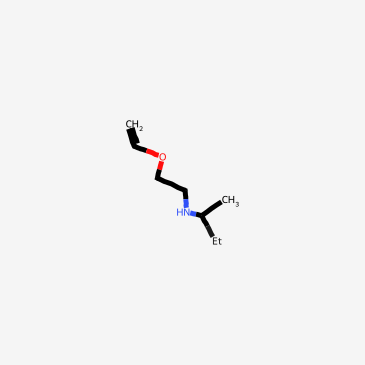 C=COCCNC(C)CC